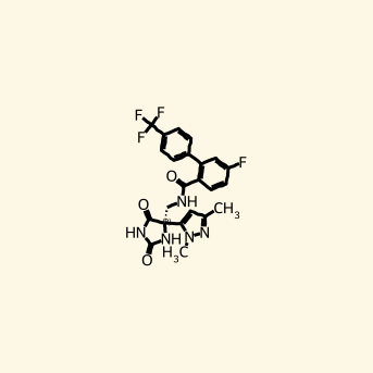 Cc1cc([C@@]2(CNC(=O)c3ccc(F)cc3-c3ccc(C(F)(F)F)cc3)NC(=O)NC2=O)n(C)n1